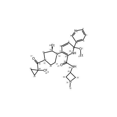 CCOC1(c2cccnc2)C=CC(N2CCN(C(=O)C3(C(F)(F)F)CC3)C[C@H]2CC)=C(C(=O)NC2CN(C)C2)N1